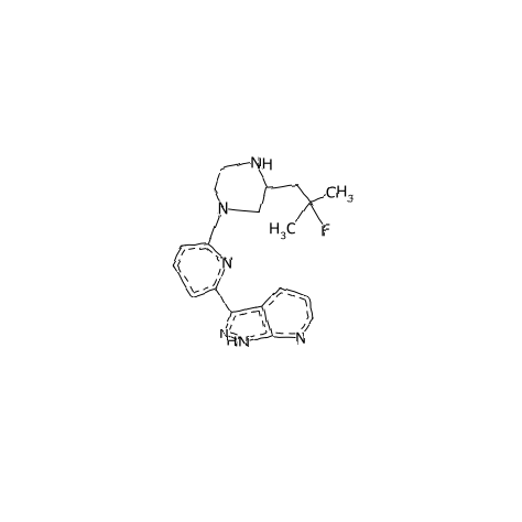 CC(C)(F)CC1CN(c2cccc(-c3n[nH]c4ncccc34)n2)CCN1